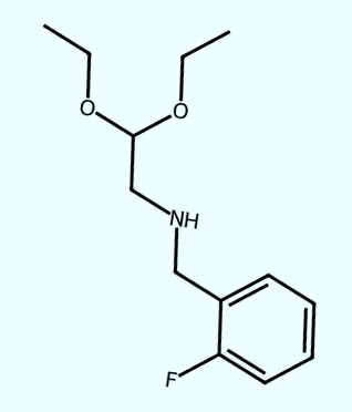 CCOC(CNCc1ccccc1F)OCC